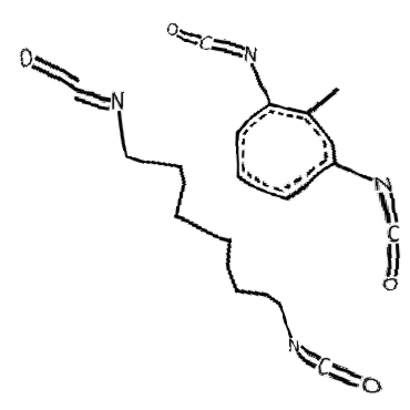 Cc1c(N=C=O)cccc1N=C=O.O=C=NCCCCCCN=C=O